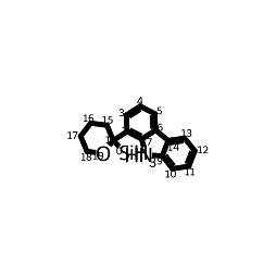 [SiH3]C1(c2cccc3c2[nH]c2ccccc23)CCCCO1